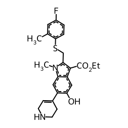 CCOC(=O)c1c(CSc2ccc(F)cc2C)n(C)c2cc(C3=CCNCC3)c(O)cc12